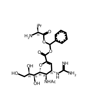 CC(=O)N[C@H]1[C@H]([C@@H](O)[C@H](O)CO)OC(C(=O)OC(OC(=O)[C@@H](N)C(C)C)c2ccccc2)=C[C@@H]1NC(=N)N